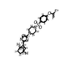 O=S(=O)(c1ccc(OC(F)F)cc1)N1CCN(c2nc(C3C[C@@H]4CC[C@H]3C4)no2)CC1